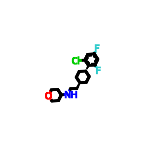 Fc1cc(F)c([C@H]2CC[C@H](CCNC3CCOCC3)CC2)c(Cl)c1